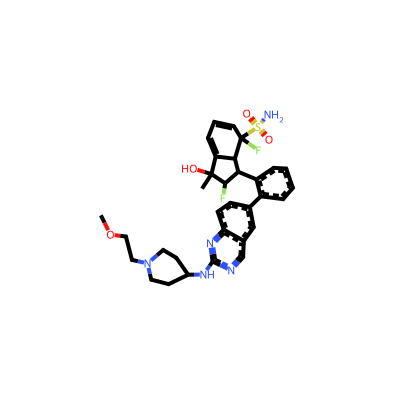 COCCN1CCC(Nc2ncc3cc(-c4ccccc4C4C(F)C(C)(O)C5=CC=CC(F)(S(N)(=O)=O)C54)ccc3n2)CC1